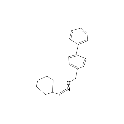 [C](=N/OCc1ccc(-c2ccccc2)cc1)/C1CCCCC1